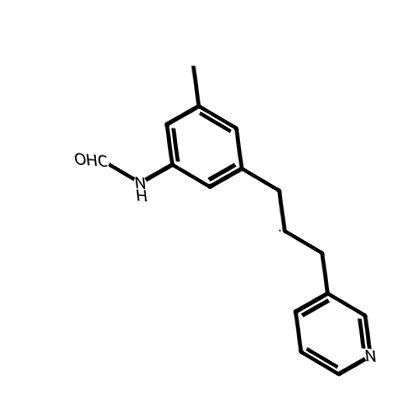 Cc1cc(C[CH]Cc2cccnc2)cc(NC=O)c1